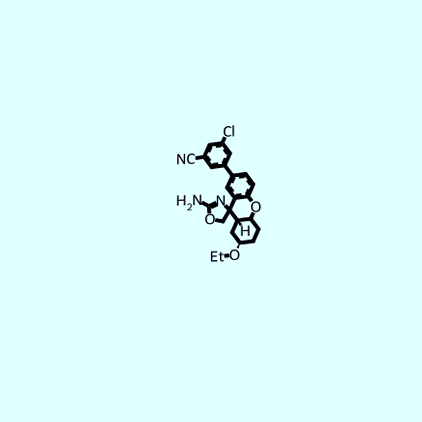 CCO[C@H]1CCC2Oc3ccc(-c4cc(Cl)cc(C#N)c4)cc3C3(COC(N)=N3)[C@H]2C1